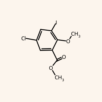 COC(=O)c1cc(Cl)cc(I)c1OC